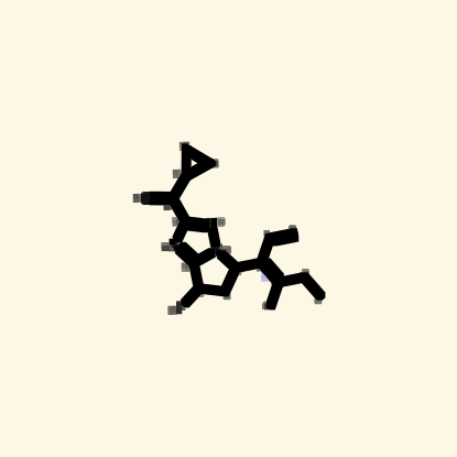 C=C/C(=C(/C)CC)C1CC(F)c2nc(C(=O)C3CC3)nn21